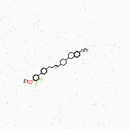 CCCc1ccc2c(c1)CCC(C1CCC(/C=C/CCc3ccc(-c4ccc(OCC)c(F)c4F)cc3)CC1)C2